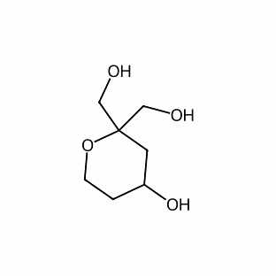 OCC1(CO)CC(O)CCO1